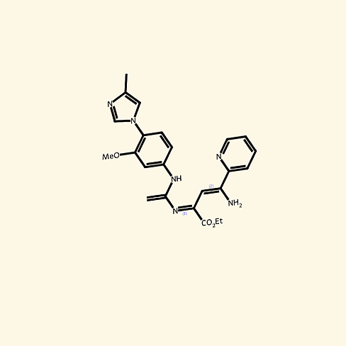 C=C(/N=C(\C=C(/N)c1ccccn1)C(=O)OCC)Nc1ccc(-n2cnc(C)c2)c(OC)c1